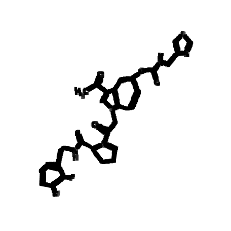 CC(=O)c1cn(CC(=O)N2CCC[C@H]2C(=O)NCc2cccc(Cl)c2F)c2ccc(OC(=O)NCc3cocn3)cc12